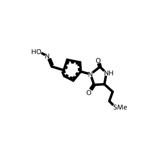 CSCCC1NC(=O)N(c2ccc(C=NO)cc2)C1=O